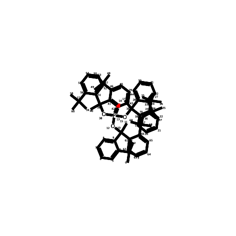 CC(C)(C)c1ccccc1C(C)(OP(=O)(OC(C)(c1ccccc1C(C)(C)C)c1ccccc1C(C)(C)C)OC(C)(c1ccccc1C(C)(C)C)c1ccccc1C(C)(C)C)c1ccccc1C(C)(C)C